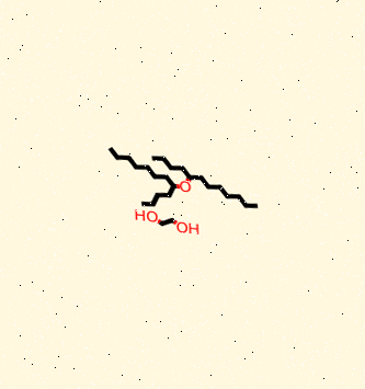 CCCCCCCC(CCCC)OC(CCCC)CCCCCCC.OCCO